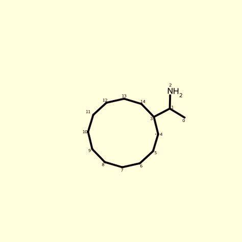 CC(N)C1[CH]CCCCCCCCCC1